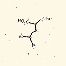 CCCCCCC(CC(CC)CC)C(=O)O